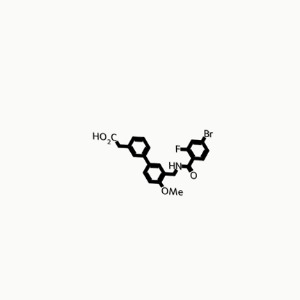 COc1ccc(-c2cccc(CC(=O)O)c2)cc1CNC(=O)c1ccc(Br)cc1F